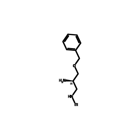 CCNC[C@@H](N)COCc1ccccc1